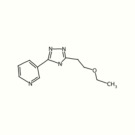 CCOCCC1=NN=C(c2cccnc2)[N]1